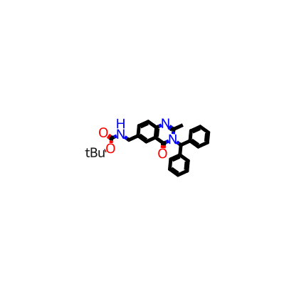 Cc1nc2ccc(CNC(=O)OC(C)(C)C)cc2c(=O)n1C(c1ccccc1)c1ccccc1